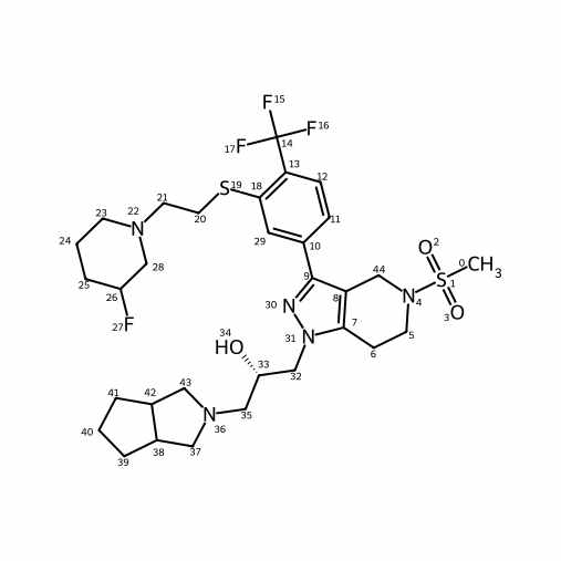 CS(=O)(=O)N1CCc2c(c(-c3ccc(C(F)(F)F)c(SCCN4CCCC(F)C4)c3)nn2C[C@@H](O)CN2CC3CCCC3C2)C1